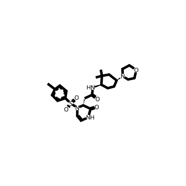 Cc1ccc(S(=O)(=O)N2C=CNC(=O)[C@H]2CC(=O)N[C@@H]2CC[C@@H](N3CCOCC3)CC2(C)C)cc1